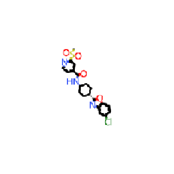 CS(=O)(=O)c1cc(C(=O)N[C@H]2CC[C@@H](c3nc4cc(Cl)ccc4o3)CC2)ccn1